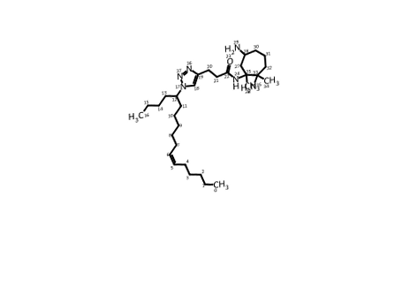 CCCCC/C=C\CCCCCC(CCCC)n1cc(CCC(=O)NC2(C)CC(N)CCCC2(C)N)nn1